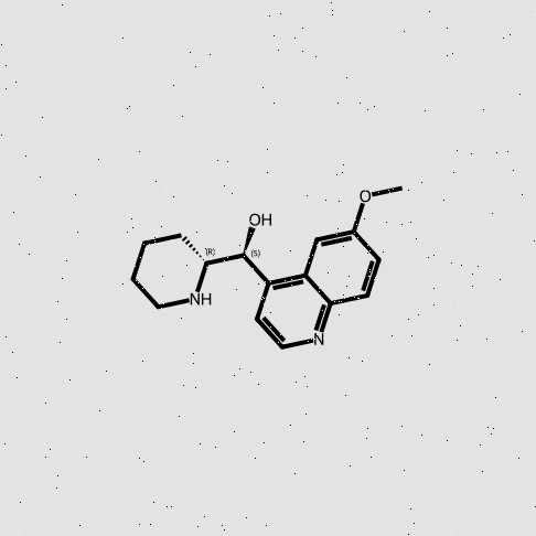 COc1ccc2nccc([C@H](O)[C@H]3CCCCN3)c2c1